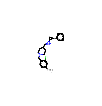 O=C(O)c1ccc(CN2CCC(CNC3C[C@H]3c3ccccc3)CC2)c(Cl)c1